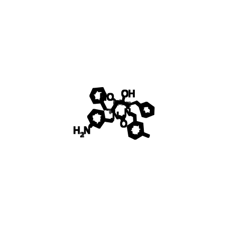 Cc1cccc(CN2C(=O)N(Cc3cccc(N)c3)[C@H](Cc3ccccc3)[C@H](O)[C@@H](O)[C@H]2Cc2ccccc2)c1